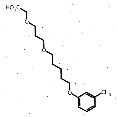 Cc1cccc(OCCCCCOCCCOCC(=O)O)c1